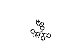 c1ccc2c(c1)cc(N(c1ccc3oc4cnccc4c3c1)c1cnc3oc4ccccc4c3c1)c1ccccc12